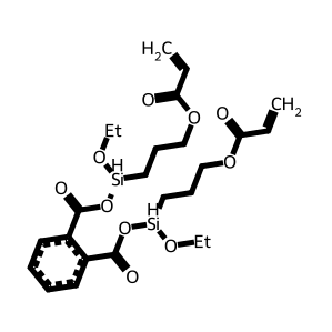 C=CC(=O)OCCC[SiH](OCC)OC(=O)c1ccccc1C(=O)O[SiH](CCCOC(=O)C=C)OCC